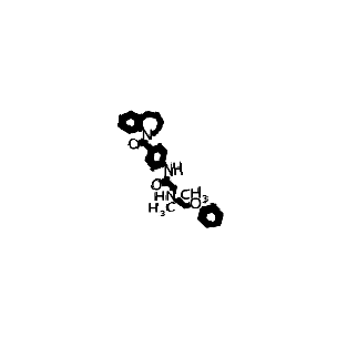 CC(C)(COc1ccccc1)NCC(=O)Nc1ccc(C(=O)N2CCCCc3ccccc32)cc1